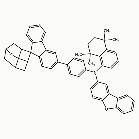 CC1(C)CCC(C)(C)c2c(N(c3ccc(-c4ccc5c(c4)-c4ccccc4C54C5CC6CC7CC4C75C6)cc3)c3ccc4oc5ccccc5c4c3)cccc21